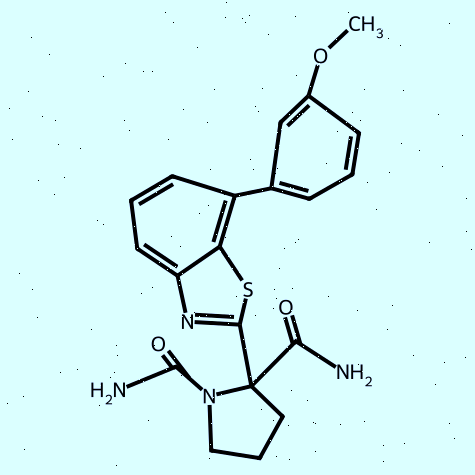 COc1cccc(-c2cccc3nc(C4(C(N)=O)CCCN4C(N)=O)sc23)c1